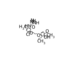 CCCc1c(OCCCOc2cc(NC(=O)c3nnn[nH]3)c(C)cc2Cl)ccc(C(C)=O)c1O